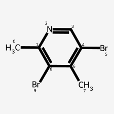 Cc1ncc(Br)c(C)c1Br